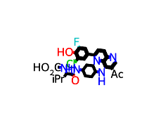 CC(=O)c1cnc2ccc(-c3cc(F)c(O)c(Cl)c3)nc2c1NC1CCC(NC(=O)C(NC(=O)O)C(C)C)CC1